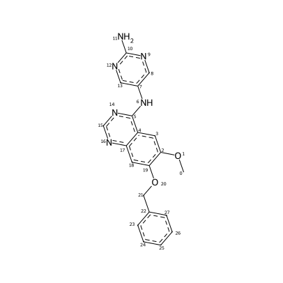 COc1cc2c(Nc3cnc(N)nc3)ncnc2cc1OCc1ccccc1